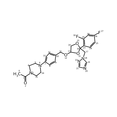 CC(=O)N1CCN(c2ccc(COC3COC(Cn4cncn4)(c4ccc(F)cc4F)O3)cc2)CC1